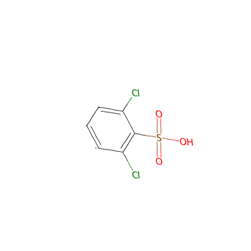 O=S(=O)(O)c1c(Cl)[c]ccc1Cl